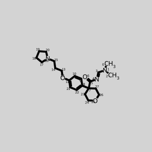 CN(C)/C=N/C(=O)C1(c2ccc(OCCCN3CCCC3)cc2)CCOCC1